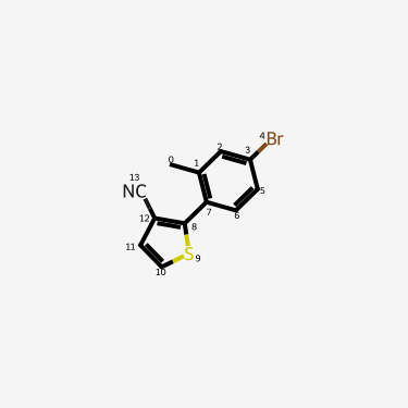 Cc1cc(Br)ccc1-c1sccc1C#N